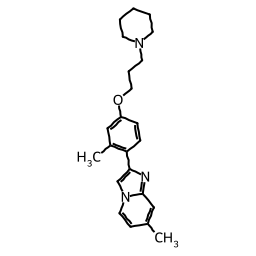 Cc1ccn2cc(-c3ccc(OCCCN4CCCCC4)cc3C)nc2c1